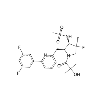 CC(C)(O)C(=O)N1CC(F)(F)[C@H](NS(C)(=O)=O)[C@@H]1Cc1cccc(-c2cc(F)cc(F)c2)n1